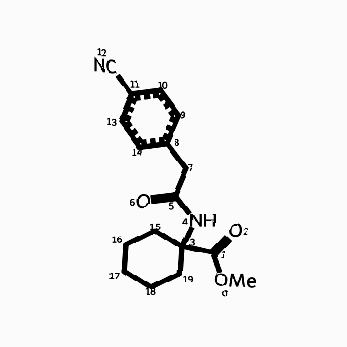 COC(=O)C1(NC(=O)Cc2ccc(C#N)cc2)CCCCC1